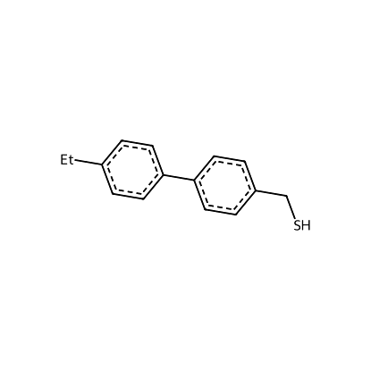 CCc1ccc(-c2ccc(CS)cc2)cc1